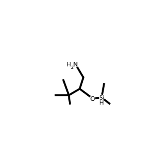 C[SiH](C)OC(CN)C(C)(C)C